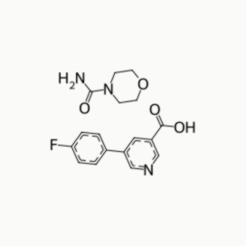 NC(=O)N1CCOCC1.O=C(O)c1cncc(-c2ccc(F)cc2)c1